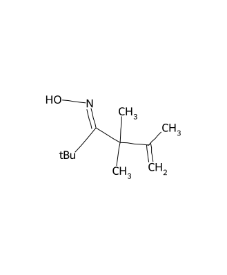 C=C(C)C(C)(C)/C(=N/O)C(C)(C)C